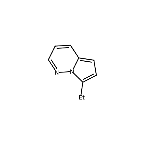 CCc1ccc2cccnn12